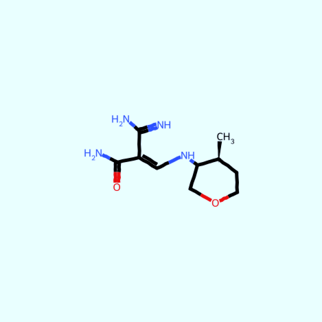 C[C@H]1CCOCC1N/C=C(\C(=N)N)C(N)=O